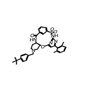 Cc1cccc(C)c1-c1cc2nc(n1)NS(=O)(=O)c1cccc(c1)C(=O)NC1CCN(Cc3ccc(C(C)(C)C)cc3)CC1O2